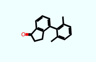 Cc1cccc(C)c1-c1cccc2c1CCC2=O